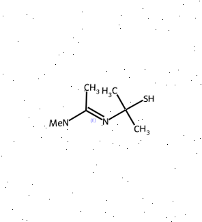 CN/C(C)=N/C(C)(C)S